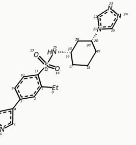 CCc1cc(-c2cncs2)ccc1S(=O)(=O)N[C@H]1CCC[C@@H](n2cnnc2)C1